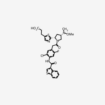 CON(C)[C@H]1C[C@@H](c2ncc(CCC(=O)O)s2)N(C(=O)Cc2cc(Cl)c(NC(=O)c3csc4ccccc34)cc2F)C1